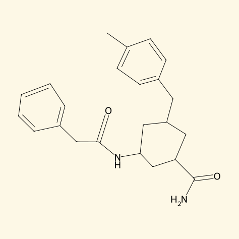 Cc1ccc(CC2CC(NC(=O)Cc3ccccc3)CC(C(N)=O)C2)cc1